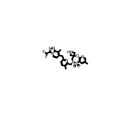 Cc1cnc2c(c1)S(=O)(=O)N(Cc1nc(Cc3ccn4c(C(F)F)nnc4c3C)ccc1C)CC1(CNC1)O2